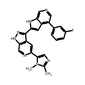 Cc1ncc(-c2cc3c(-c4cc5c(-c6cccc(F)c6)cncc5[nH]4)n[nH]c3cn2)n1C